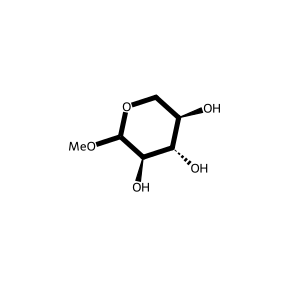 COC1OC[C@@H](O)[C@H](O)[C@H]1O